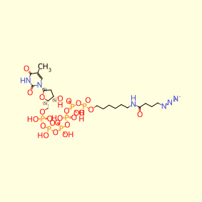 Cc1cn([C@@H]2C[C@H](O)[C@H](COP(=O)(O)OP(=O)(O)OP(=O)(O)OP(=O)(O)OP(=O)(O)OP(=O)(O)OCCCCCCNC(=O)CCCN=[N+]=[N-])O2)c(=O)[nH]c1=O